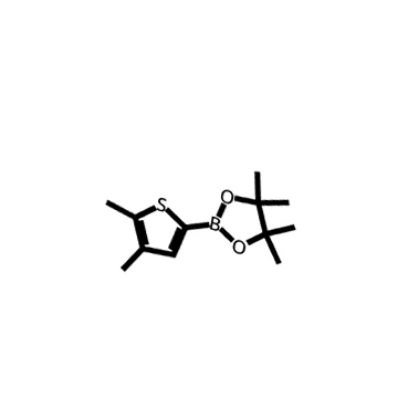 Cc1cc(B2OC(C)(C)C(C)(C)O2)sc1C